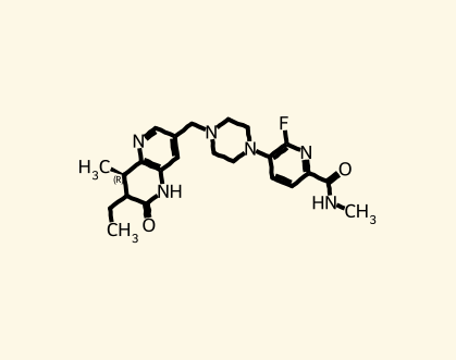 CCC1C(=O)Nc2cc(CN3CCN(c4ccc(C(=O)NC)nc4F)CC3)cnc2[C@@H]1C